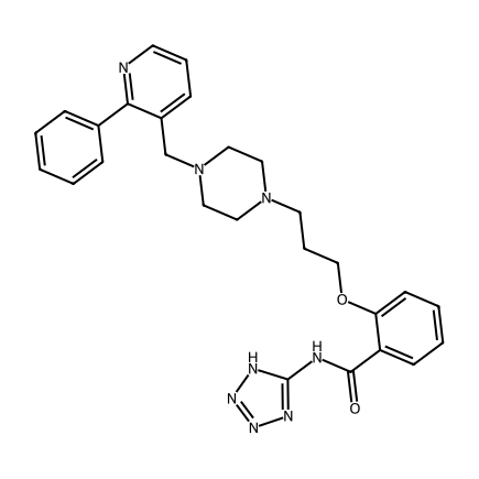 O=C(Nc1nnn[nH]1)c1ccccc1OCCCN1CCN(Cc2cccnc2-c2ccccc2)CC1